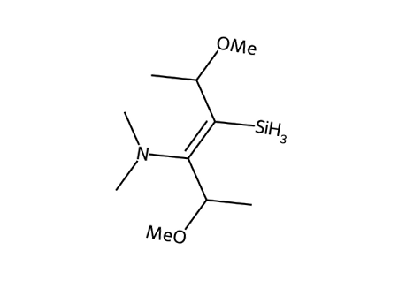 COC(C)C([SiH3])=C(C(C)OC)N(C)C